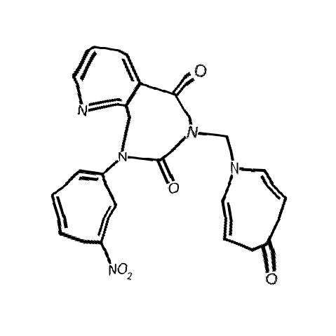 O=c1ccn(Cn2c(=O)c3cccnc3n(-c3cccc([N+](=O)[O-])c3)c2=O)cc1